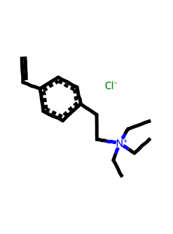 C=Cc1ccc(CC[N+](CC)(CC)CC)cc1.[Cl-]